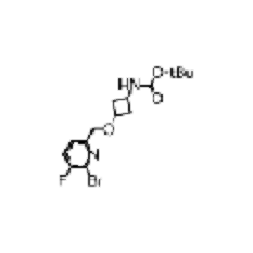 CC(C)(C)OC(=O)N[C@H]1C[C@H](OCc2ccc(F)c(Br)n2)C1